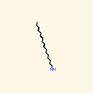 CC/C=C/C/C=C/C/C=C/CCCCCCC[NH]